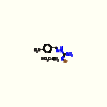 CC(=O)O.NC(=NBr)NN=Cc1ccc([N+](=O)[O-])cc1